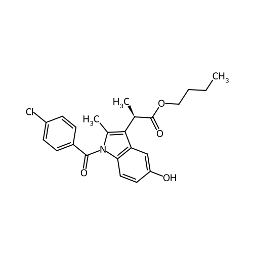 CCCCOC(=O)[C@H](C)c1c(C)n(C(=O)c2ccc(Cl)cc2)c2ccc(O)cc12